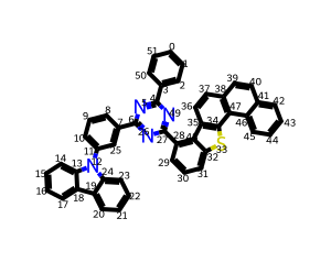 c1ccc(-c2nc(-c3cccc(-n4c5ccccc5c5ccccc54)c3)nc(-c3cccc4sc5c(ccc6ccc7ccccc7c65)c34)n2)cc1